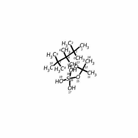 CC(C)(C)C(C)(C)C(C)(C)C.CC(C)(C)O[Si](O)(O)O